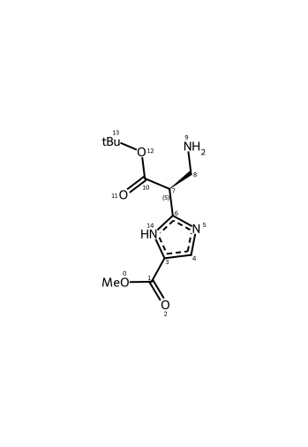 COC(=O)c1cnc([C@H](CN)C(=O)OC(C)(C)C)[nH]1